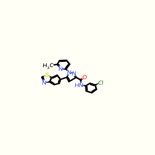 Cc1cccc(-n2nc(C(=O)Nc3cccc(Cl)c3)cc2-c2ccc3ncsc3c2)n1